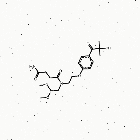 COC(CN(CCOc1ccc(C(=O)C(C)(C)O)cc1)C(=O)CCC(N)=O)OC